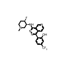 CN1CC[C@@H](F)[C@@H](Nc2nnc(-c3ccc(C(F)(F)F)cc3O)c3ccncc23)C1